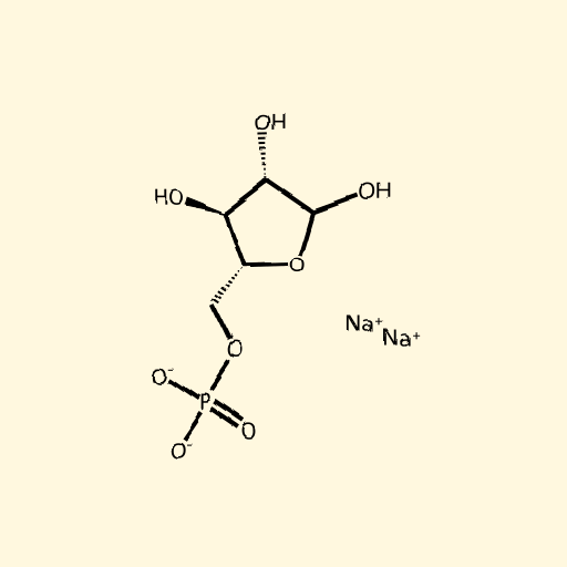 O=P([O-])([O-])OC[C@H]1OC(O)[C@@H](O)[C@@H]1O.[Na+].[Na+]